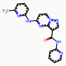 O=C(Nc1ccccn1)c1cnn2ccc(Nc3cccc(C(F)(F)F)n3)nc12